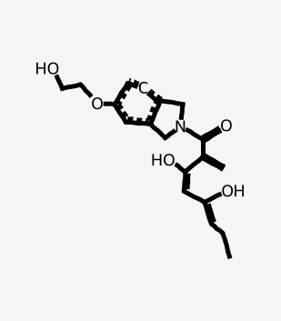 C=C(C(=O)N1Cc2ccc(OCCO)cc2C1)/C(O)=C\C(O)=C\CC